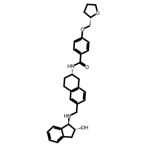 O=C(N[C@H]1CCc2cc(CN[C@@H]3c4ccccc4C[C@H]3O)ccc2C1)c1ccc(OC[C@@H]2CCCO2)cc1